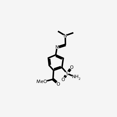 COC(=O)c1ccc(N=CN(C)C)cc1S(N)(=O)=O